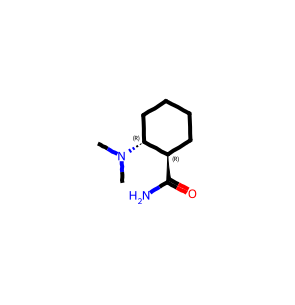 CN(C)[C@@H]1CCCC[C@H]1C(N)=O